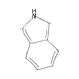 [c]1[nH][c]c2ccccc12